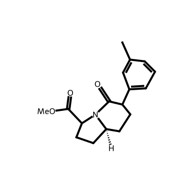 COC(=O)C1CC[C@@H]2CCC(c3cccc(C)c3)C(=O)N12